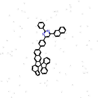 c1ccc(-c2nc(-c3ccc(-c4ccc5cc6c(cc5c4)C4(c5ccccc5-c5ccccc54)c4c-6ccc5ccccc45)cc3)cc(-c3ccc4ccccc4c3)n2)cc1